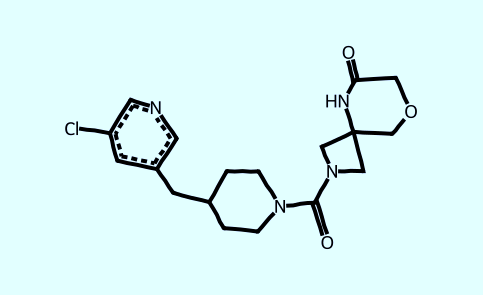 O=C1COCC2(CN(C(=O)N3CCC(Cc4cncc(Cl)c4)CC3)C2)N1